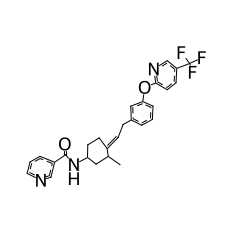 CC1CC(NC(=O)c2cccnc2)CCC1=CCc1cccc(Oc2ccc(C(F)(F)F)cn2)c1